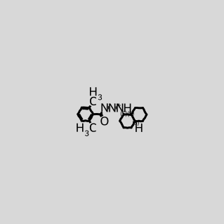 Cc1cccc(C)c1C(=O)N=[N+]=N[C@H]1CCC[C@@H]2CCCC[C@@H]21